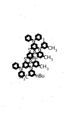 CCCCc1cc(C)cc(N2c3cc(C)cc(I)c3B3c4cc5c(cc4Sc4cc(N(c6ccccc6)c6ccccc6)cc2c43)Sc2cc(N(c3ccccc3)c3ccccc3)cc3c2B5c2c(CCCC)cc(C)cc2N3c2cc(C)cc(I)c2)c1